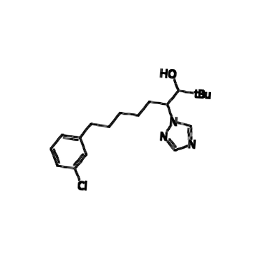 CC(C)(C)C(O)C(CCCCCc1cccc(Cl)c1)n1cncn1